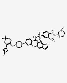 CN1CCO[C@@H](CNc2ccc(S(=O)(=O)NC(=O)c3ccc(N4CCN(CC5=C(C67CC(C)(C6)C7)CC(C)(C)CC5)CC4)cc3Oc3cnc4[nH]ccc4c3)cc2[N+](=O)[O-])C1